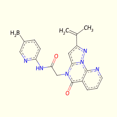 Bc1ccc(NC(=O)Cn2c(=O)c3cccnc3n3nc(C(=C)C)cc23)nc1